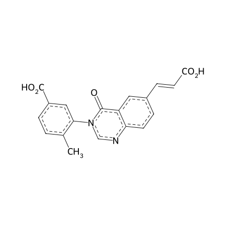 Cc1ccc(C(=O)O)cc1-n1cnc2ccc(C=CC(=O)O)cc2c1=O